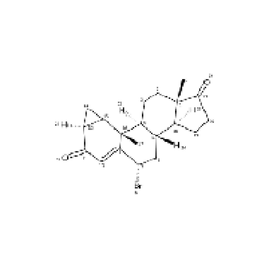 C[C@]12CC[C@H]3[C@@H](C[C@H](Br)C4=CC(=O)[C@H]5CC5[C@@]43C)[C@@H]1CCC2=O